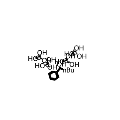 CCCCC(O)c1ccccc1.OB(O)O.OB(O)O.OB(O)O.OB(O)O